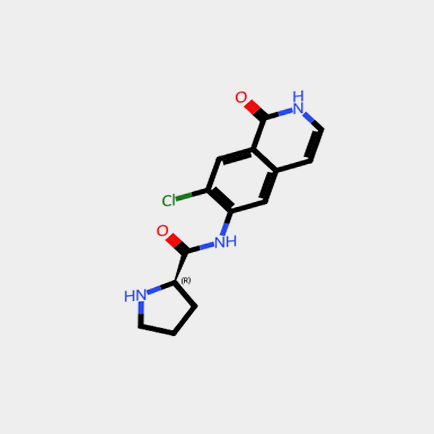 O=C(Nc1cc2cc[nH]c(=O)c2cc1Cl)[C@H]1CCCN1